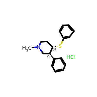 CN1CC[C@H](Sc2ccccc2)[C@@H](c2ccccc2)C1.Cl